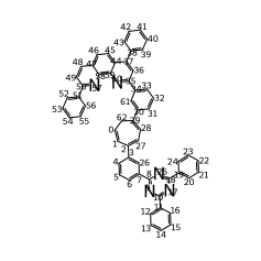 C1=CC(c2cccc(-c3nc(-c4ccccc4)nc(-c4ccccc4)n3)c2)=CC=C(c2cccc(-c3cc(-c4ccccc4)c4ccc5ccc(-c6ccccc6)nc5c4n3)c2)C1